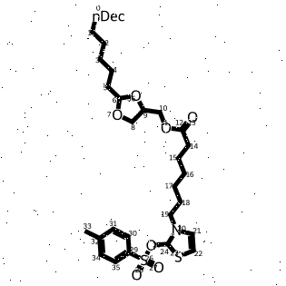 CCCCCCCCCCCCCCCC1OCC(COC(=O)CCCCCCN2C=CSC2OS(=O)(=O)c2ccc(C)cc2)O1